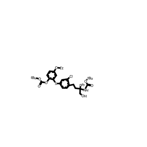 CCCC(CO)(CCc1ccc(Sc2cc(OCC)ccc2OC(=O)OC(C)(C)C)cc1Cl)NC(=O)OC(C)(C)C